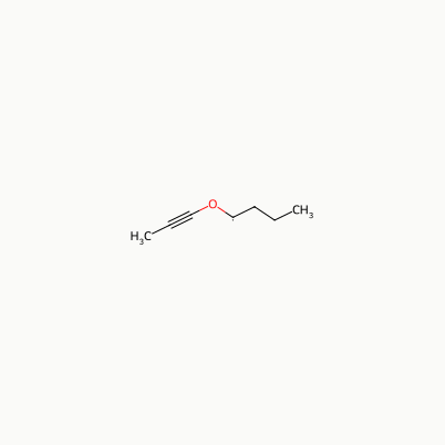 CC#CO[CH]CCC